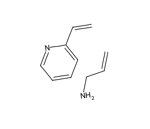 C=CCN.C=Cc1ccccn1